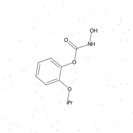 CC(C)Oc1ccccc1OC(=O)NO